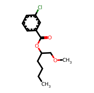 CCCCC(COC)OC(=O)c1cccc(Cl)c1